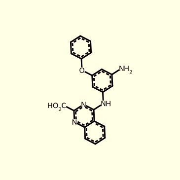 Nc1cc(Nc2nc(C(=O)O)nc3ccccc23)cc(Oc2ccccc2)c1